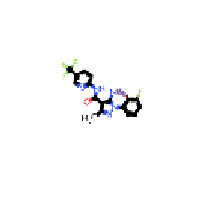 Cc1nn(-c2cccc(F)c2Br)c(N)c1C(=O)Nc1ccc(C(F)(F)F)cn1